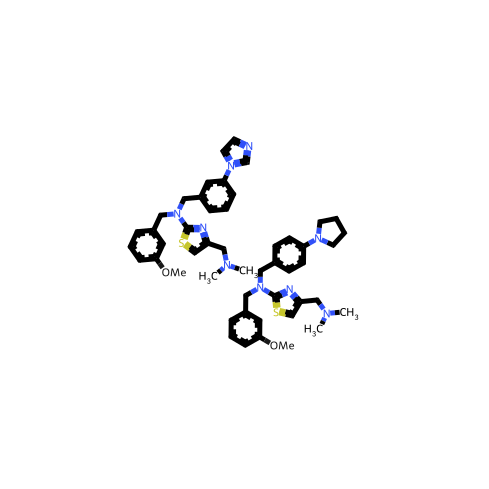 COc1cccc(CN(Cc2ccc(N3CCCC3)cc2)c2nc(CN(C)C)cs2)c1.COc1cccc(CN(Cc2cccc(-n3ccnc3)c2)c2nc(CN(C)C)cs2)c1